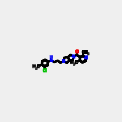 Cc1ccc(NCCCN2CC3CN(C(=O)c4c(C)ccnc4C)CC3C2)cc1Cl